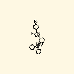 CC(C)(C)[Si](OC1CCCC(n2cc(I)c(-c3ccc(Br)cc3)n2)C1)(c1ccccc1)c1ccccc1